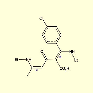 CCN/C(C)=C\C(=O)/C(C(=O)O)=C(/NCC)c1ccc(Cl)cc1